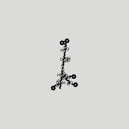 CCCC(NC(=O)CCC(NC(=O)COCCOCCNC(=O)C(CCCCNC(=O)OCC1c2ccccc2-c2ccccc21)NC=O)C(=O)NC(CCC(=O)OCc1ccccc1)C(=O)OCc1ccccc1)C(=O)OCc1ccccc1